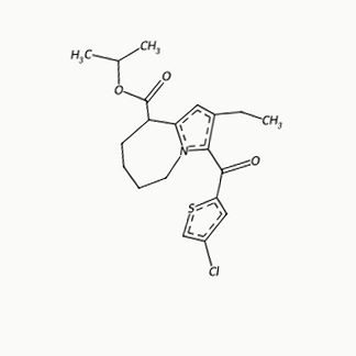 CCc1cc2n(c1C(=O)c1cc(Cl)cs1)CCCCC2C(=O)OC(C)C